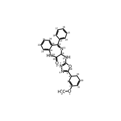 COC1=CC(c2nnc(NC3N=C(c4ccccc4)c4ccccc4NC3=O)o2)CC=C1